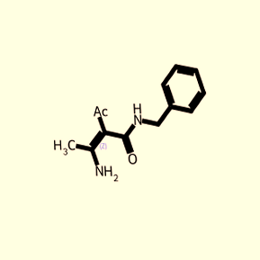 CC(=O)/C(C(=O)NCc1ccccc1)=C(\C)N